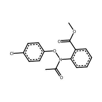 COC(=O)c1ccccc1N(Oc1ccc(Cl)cc1)C(C)=O